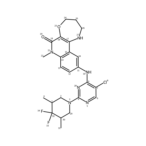 CC1CN(c2ncc(Cl)c(Nc3ccc4c(c3)c3c(c(=O)n4C)OCCCN3)n2)CC(C)C1(F)F